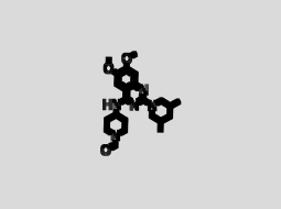 COc1cc2nc(N3CC(C)CC(C)C3)nc(NC3CCN(C=O)CC3)c2cc1OC